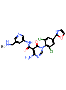 CCNCc1cncc(NC(=O)c2c(N)ncn(-c3c(Cl)cc(-c4ncco4)cc3Cl)c2=O)c1